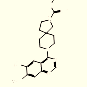 COc1cc2ncnc(N3CCC4(CCN(C(=O)OC(C)(C)C)C4)CC3)c2cc1O